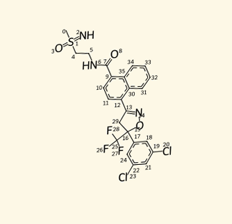 CS(=N)(=O)CCNC(=O)c1ccc(C2=NOC(c3cc(Cl)cc(Cl)c3)(C(F)(F)F)C2)c2ccccc12